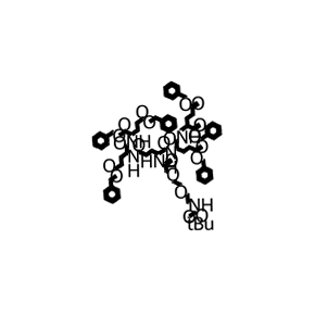 CC(C)(C)OC(=O)NCCOCCOCC(=O)NC(CCC(=O)NC(CCC(=O)OCc1ccccc1)C(=O)NC(CCC(=O)OCc1ccccc1)C(=O)OCc1ccccc1)C(=O)NC(CCC(=O)OCc1ccccc1)C(=O)NCC(CCC(=O)OCc1ccccc1)C(=O)OCc1ccccc1